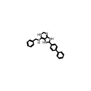 c1ccc(CNC2=C3NC(c4ccc(-c5ccccc5)cc4)NC3=NCN2)cc1